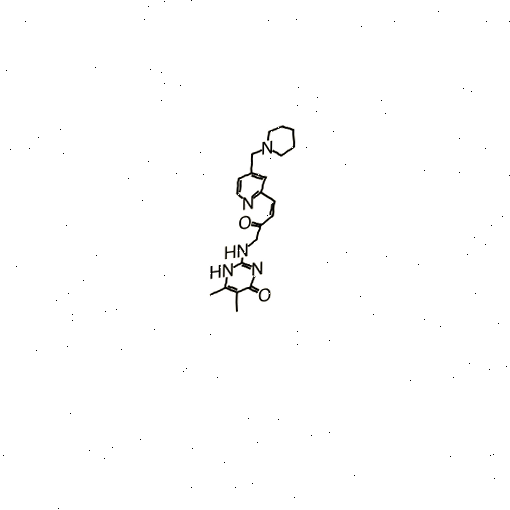 Cc1[nH]c(NCC(=O)/C=C\c2cc(CN3CCCCC3)ccn2)nc(=O)c1C